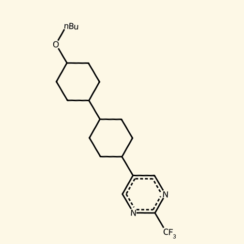 CCCCOC1CCC(C2CCC(c3cnc(C(F)(F)F)nc3)CC2)CC1